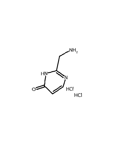 Cl.Cl.NCc1nccc(=O)[nH]1